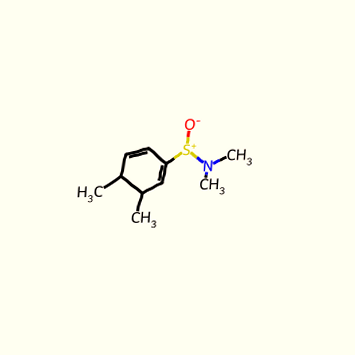 CC1C=CC([S+]([O-])N(C)C)=CC1C